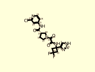 O=C(NC1(c2c[nH]nn2)CC(F)(F)C1)C(=O)N1CC[C@H](C(=O)Nc2ccnc(Cl)c2)C1